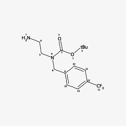 CC(C)(C)OC(=O)N(CCN)Cc1ccc(C(F)(F)F)cc1